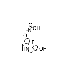 O=C(O)N1CC(Oc2cc(F)c(C3NCCc4cc(O)ccc43)c(F)c2)C1